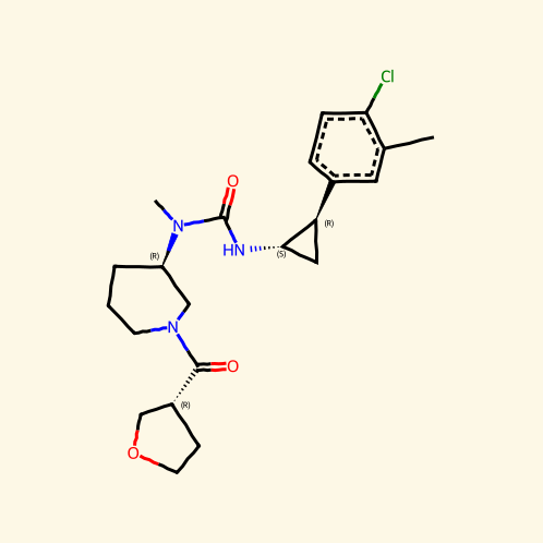 Cc1cc([C@H]2C[C@@H]2NC(=O)N(C)[C@@H]2CCCN(C(=O)[C@@H]3CCOC3)C2)ccc1Cl